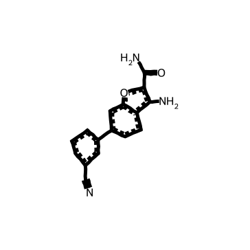 N#Cc1cccc(-c2ccc3c(N)c(C(N)=O)oc3c2)c1